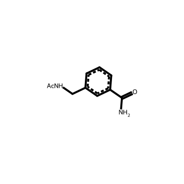 CC(=O)NCc1cccc(C(N)=O)c1